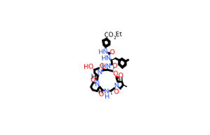 CCOC(=O)c1ccc(NC(=O)N[C@@H](Cc2cccc(C)c2)C(=O)N[C@@H]2C(=O)N3C[C@H](O)C[C@H]3C(=O)N3CCCC[C@H]3C(=O)N[C@@H](C)C(=O)N3C[C@H](C)C[C@H]3C(=O)O[C@H]2C)cc1